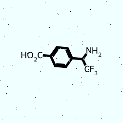 NC(c1ccc(C(=O)O)cc1)C(F)(F)F